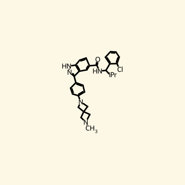 CC(C)C(NC(=O)c1ccc2[nH]nc(-c3ccc(N4CC5(CN(C)C5)C4)cc3)c2c1)c1ccccc1Cl